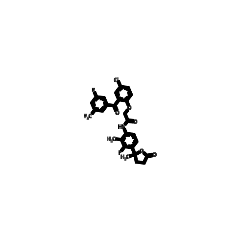 Cc1c(NC(=O)COc2ccc(Cl)cc2C(=O)c2cc(F)cc(C(F)(F)F)c2)ccc(C2(C)CCC(=O)O2)c1F